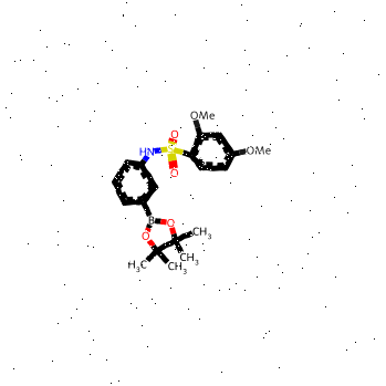 COc1ccc(S(=O)(=O)Nc2cccc(B3OC(C)(C)C(C)(C)O3)c2)c(OC)c1